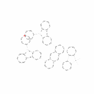 CC1(C)c2ccccc2-c2c(-c3c4cccc(-c5ccc6c(c5)c5ccccc5n6-c5ccccc5)c4cc4c(-c5ccc6c(c5)c5ccccc5n6-c5ccccc5)cccc34)cccc21